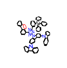 c1ccc([Si](c2ccccc2)(c2ccccc2)c2cccc(-c3nc(-c4cccc5c4oc4ccccc45)nc(-n4c5ccc(-n6c7ccccc7c7ccccc76)cc5c5cc(-n6c7ccccc7c7ccccc76)ccc54)n3)c2)cc1